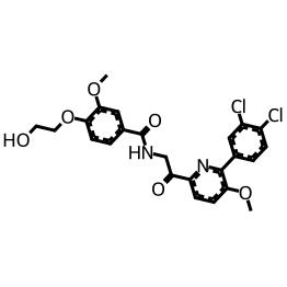 COc1cc(C(=O)NCC(=O)c2ccc(OC)c(-c3ccc(Cl)c(Cl)c3)n2)ccc1OCCO